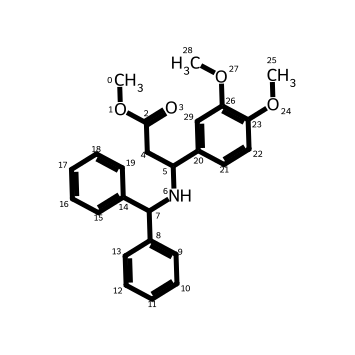 COC(=O)CC(NC(c1ccccc1)c1ccccc1)c1ccc(OC)c(OC)c1